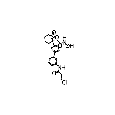 O=C(C[C@]1(c2ccc(-c3cccc(NC(=O)CCCl)c3)s2)CCCCS1(=O)=O)NO